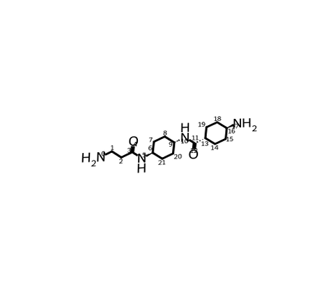 NCCC(=O)N[C@H]1CC[C@H](NC(=O)[C@H]2CC[C@H](N)CC2)CC1